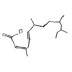 CC(C=CC(C)CCC(C)C(C)C)=CC(=O)Cl